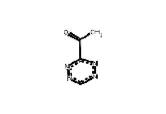 CC(=O)c1nncnn1